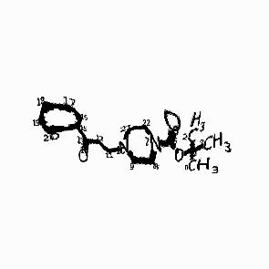 CC(C)(C)OC(=O)N1CCN(CCC(=O)c2ccccc2)CC1